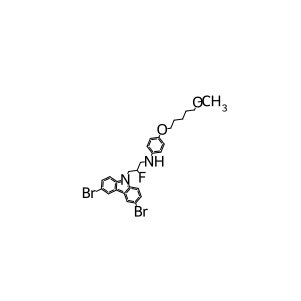 COCCCCCOc1ccc(NCC(F)Cn2c3ccc(Br)cc3c3cc(Br)ccc32)cc1